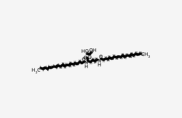 CCC=CCC=CCC=CCC=CCC=CCC=CCCC(=O)NC(CCCCNC(=O)CCCC=CCC=CCC=CCC=CCC=CCC)C(=O)OC(CO)CO